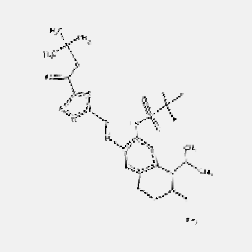 CCC1CCc2cc(N=Nc3nnc(C(=O)OC(C)(C)C)s3)c(NS(=O)(=O)C(F)(F)F)cc2N1C(C)C